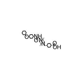 CC1CN(Cc2ccc(C(=O)O)cc2)C(C)CN1CC(=O)Nc1ccc(Oc2ccccc2)cc1